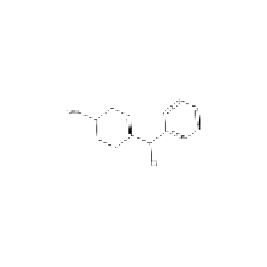 CCCCC1CC=C(C(CC)c2ccccc2)CC1